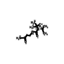 CC(C)[C@H](C(=O)NCCC(N)=O)C(C)(C)C